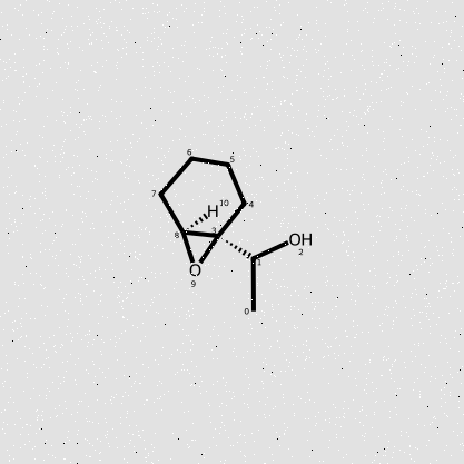 CC(O)[C@@]12CCCC[C@@H]1O2